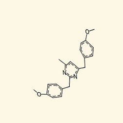 COc1ccc(Cc2cc(C)nc(Cc3ccc(OC)cc3)n2)cc1